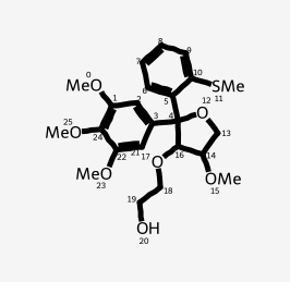 COc1cc(C2(c3ccccc3SC)OCC(OC)C2OCCO)cc(OC)c1OC